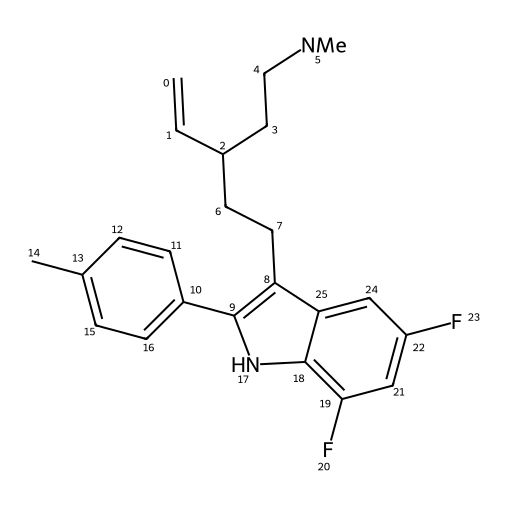 C=CC(CCNC)CCc1c(-c2ccc(C)cc2)[nH]c2c(F)cc(F)cc12